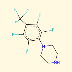 Fc1c(F)c(C(F)(F)F)c(F)c(F)c1N1CCNCC1